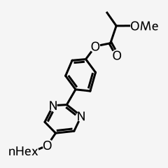 CCCCCCOc1cnc(-c2ccc(OC(=O)C(C)OC)cc2)nc1